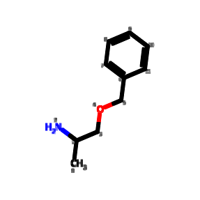 CC(N)COCc1ccccc1